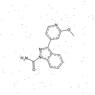 COc1cc(-c2nn(C(N)=O)c3cc[c]cc23)ccn1